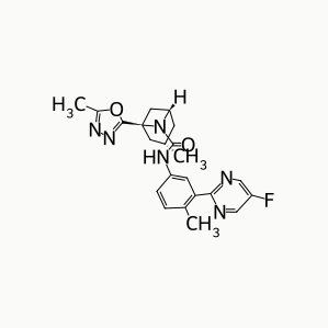 Cc1nnc([C@@]23C[C@@H](C)C[C@@H](C2)N3C(=O)Nc2ccc(C)c(-c3ncc(F)cn3)c2)o1